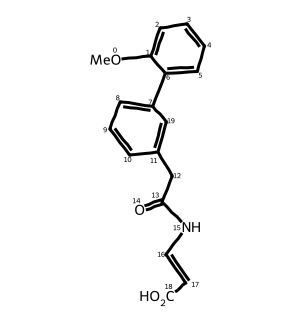 COc1ccccc1-c1cccc(CC(=O)NC=CC(=O)O)c1